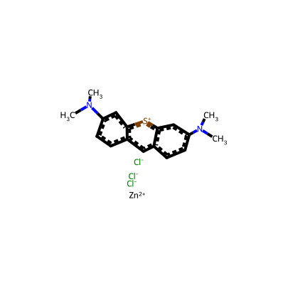 CN(C)c1ccc2cc3ccc(N(C)C)cc3[s+]c2c1.[Cl-].[Cl-].[Cl-].[Zn+2]